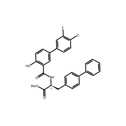 COC(=O)[C@H](Cc1ccc(-c2ccccc2)cc1)NC(=O)c1cc(-c2ccc(Cl)c(F)c2)ccc1O